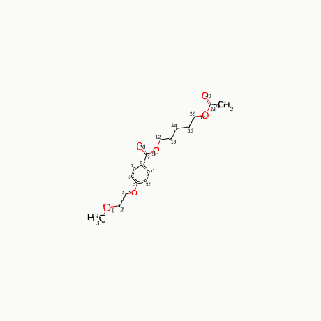 COCCOc1ccc(C(=O)OCCCCCOC(C)=O)cc1